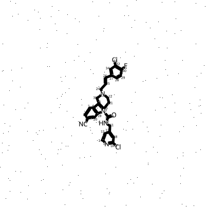 N#Cc1ccc2c3c(n(C(=O)NCc4ccnc(Cl)c4)c2c1)CCN(C/C=C/c1ccc(F)c(Cl)c1)C3